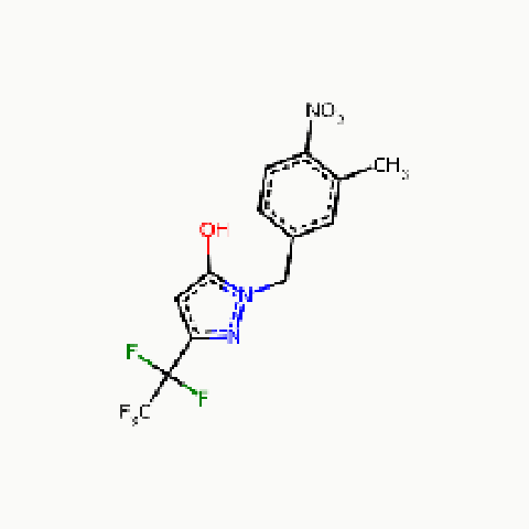 Cc1cc(Cn2nc(C(F)(F)C(F)(F)F)cc2O)ccc1[N+](=O)[O-]